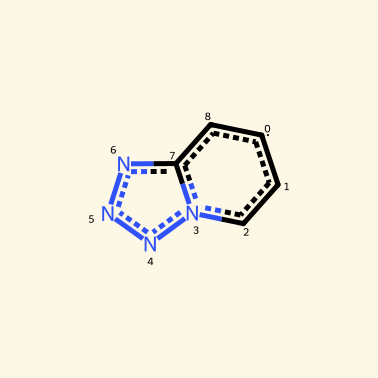 [c]1ccn2nnnc2c1